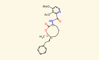 COc1ccnc(C(=O)N[C@H]2CCCC[C@@H](CCc3ccccc3)[C@H](C)OC2=O)c1OC(C)=O